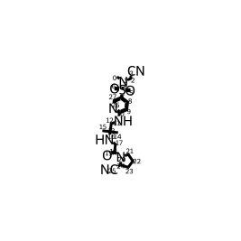 CN(CC#N)S(=O)(=O)c1ccc(NCC(C)(C)NCC(=O)N2CCCC2C#N)nc1